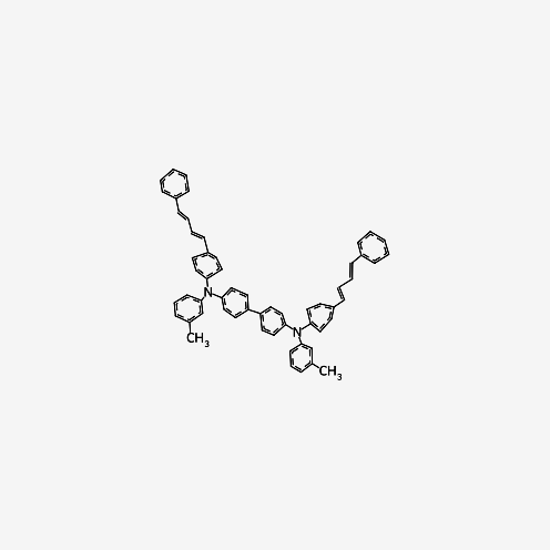 Cc1cccc(N(c2ccc(/C=C/C=C/c3ccccc3)cc2)c2ccc(-c3ccc(N(c4ccc(/C=C/C=C/c5ccccc5)cc4)c4cccc(C)c4)cc3)cc2)c1